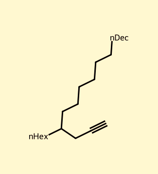 C#CCC(CCCCCC)CCCCCCCCCCCCCCCC